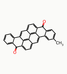 Cc1ccc2c(=O)c3ccc4cc5c6ccccc6c(=O)c6ccc7cc(c2c1)c3c4c7c65